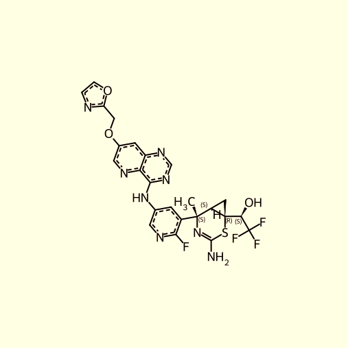 C[C@]1(c2cc(Nc3ncnc4cc(OCc5ncco5)cnc34)cnc2F)N=C(N)S[C@]2([C@@H](O)C(F)(F)F)C[C@H]21